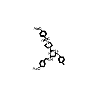 COc1ccc(CNc2cc(Nc3ccc(C)cc3)nc(N3CCN(S(=O)(=O)c4ccc(OC)cc4)CC3)n2)cc1